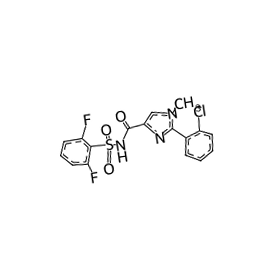 Cn1cc(C(=O)NS(=O)(=O)c2c(F)cccc2F)nc1-c1ccccc1Cl